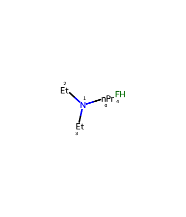 CCCN(CC)CC.F